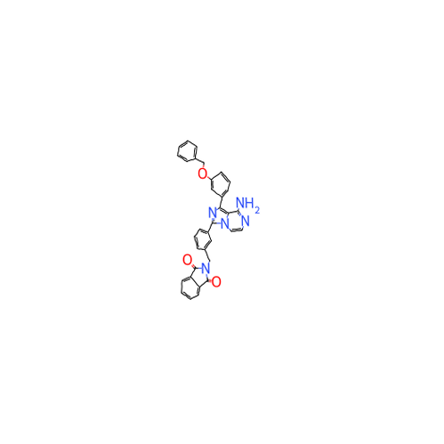 Nc1nccn2c(-c3cccc(CN4C(=O)c5ccccc5C4=O)c3)nc(-c3cccc(OCc4ccccc4)c3)c12